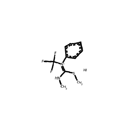 CNC(SC)=[N+](c1ccccc1)C(F)(F)F.I